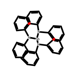 c1ccc([N](c2ccccc2)[Sb]([N](c2ccccc2)c2ccccc2)[N](c2ccccc2)c2ccccc2)cc1